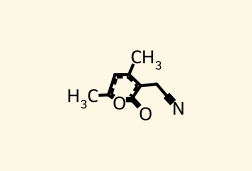 Cc1cc(C)c(CC#N)c(=O)o1